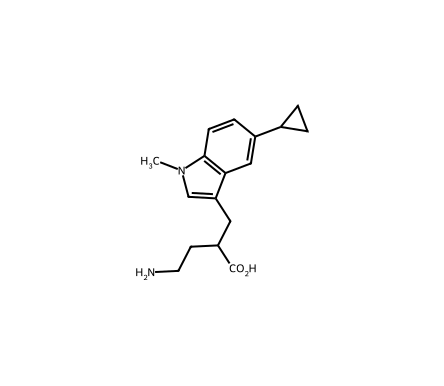 Cn1cc(CC(CCN)C(=O)O)c2cc(C3CC3)ccc21